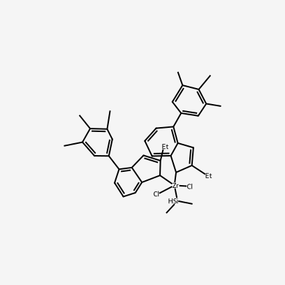 CCC1=Cc2c(-c3cc(C)c(C)c(C)c3)cccc2[CH]1[Zr]([Cl])([Cl])([CH]1C(CC)=Cc2c(-c3cc(C)c(C)c(C)c3)cccc21)[SiH](C)C